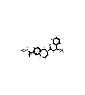 CC(CC(=O)N1CCOc2cc(C(=O)NO)ccc2C1)c1ccccc1